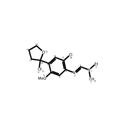 CCN(C)/C=N/c1cc(OC)c(C2(C(F)(F)F)CCCO2)cc1Cl